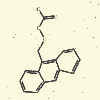 O=C(O)OOCc1c2ccccc2cc2ccccc12